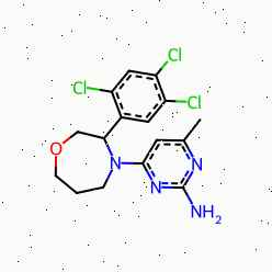 Cc1cc(N2CCCOCC2c2cc(Cl)c(Cl)cc2Cl)nc(N)n1